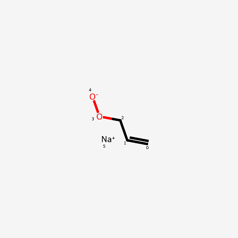 C=CCO[O-].[Na+]